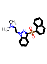 CN(C)CCn1nc(S(=O)(=O)c2cccc3ccccc23)c2ccccc21